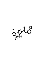 CCC1CCC2C(=O)Nc3cc(NCc4cccc(Cl)c4)ccc3C12